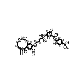 COC(=O)c1ccc(NC(=O)c2nc(NC(=O)CCCOc3cc4c(cc3OC)C(=O)NCCCSC/C=N\4)cn2C)cc1